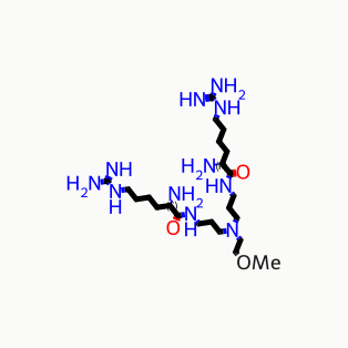 COCCN(CCCNC(=O)[C@H](N)CCCCNC(=N)N)CCCNC(=O)[C@@H](N)CCCCNC(=N)N